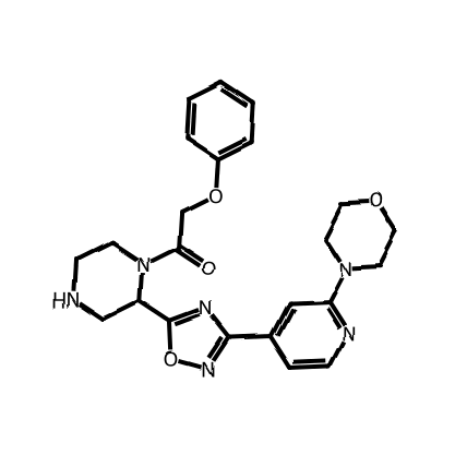 O=C(COc1ccccc1)N1CCNCC1c1nc(-c2ccnc(N3CCOCC3)c2)no1